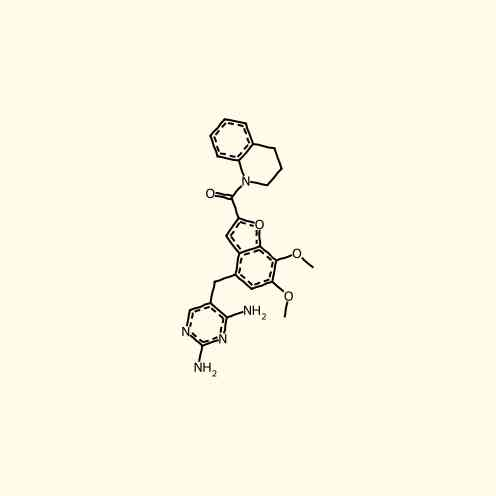 COc1cc(Cc2cnc(N)nc2N)c2cc(C(=O)N3CCCc4ccccc43)oc2c1OC